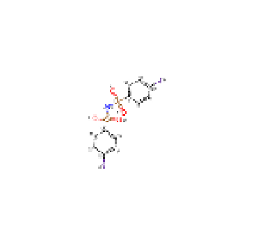 O=S(=O)([N]S(=O)(=O)c1ccc(I)cc1)c1ccc(I)cc1